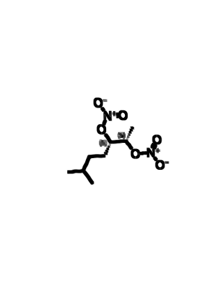 CC(C)CC[C@H](O[N+](=O)[O-])[C@H](C)O[N+](=O)[O-]